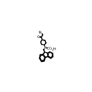 O=C(CBr)C1CCC(N(CC2c3ccccc3-c3ccccc32)C(=O)O)CC1